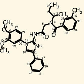 CCC(C)N(CC(=O)Nc1nc(-c2ccccc2)cn1-c1ccc(OC)c(OC)c1)C(=O)c1cccc(C)c1